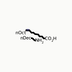 CCCCCCCC/C=C\CCCCCCCC(=O)O.CCCCCCCCCCCCN